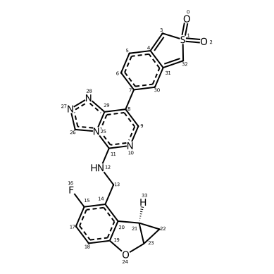 O=S1(=O)C=c2ccc(-c3cnc(NCc4c(F)ccc5c4[C@H]4CC4O5)n4cnnc34)cc2=C1